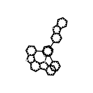 c1ccc(-c2nc(-c3ccc4c(c3)sc3ccccc34)nc(-c3cccc4oc5ccc6c7ccccc7n(-c7ccccc7)c6c5c34)n2)cc1